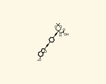 COc1ccc2cc(C#Cc3ccc(C#CC4(NC(=O)O)COC(C)(C)OC4)cc3)oc2c1